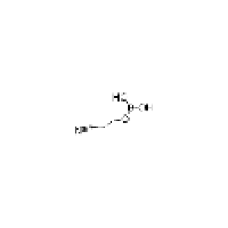 N#CCCOB(O)O